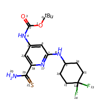 CC(C)(C)OC(=O)Nc1cc(NC2CCC(F)(F)CC2)nc(C(N)=S)c1